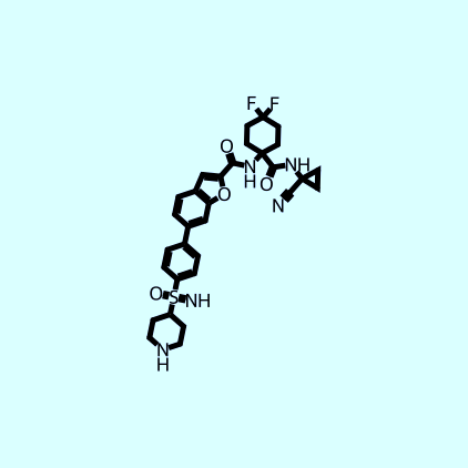 N#CC1(NC(=O)C2(NC(=O)c3cc4ccc(-c5ccc(S(=N)(=O)C6CCNCC6)cc5)cc4o3)CCC(F)(F)CC2)CC1